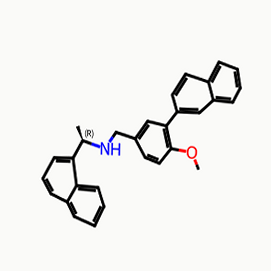 COc1ccc(CN[C@H](C)c2cccc3ccccc23)cc1-c1ccc2ccccc2c1